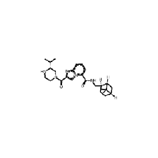 CC(C)[C@@H]1CN(C(=O)c2cn3c(C(=O)NC[C@@H]4CC[C@H]5C[C@@H]4C5(C)C)cccc3n2)CCN1